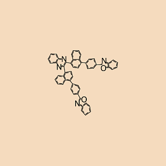 c1ccc2nc(-c3ccc(-c4ccc(-c5nc6ccccc6o5)cc4)c4ccccc34)c(-c3ccc(-c4ccc(-c5nc6ccccc6o5)cc4)c4ccccc34)nc2c1